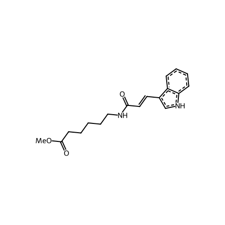 COC(=O)CCCCCNC(=O)C=Cc1c[nH]c2ccccc12